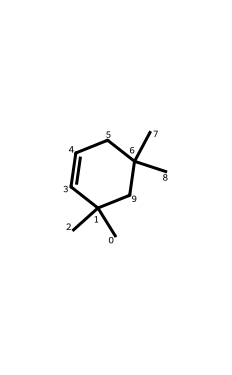 CC1(C)C=CCC(C)(C)C1